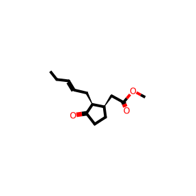 CCC=CC[C@@H]1C(=O)CC[C@@H]1CC(=O)OC